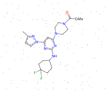 COC(=O)N1CCN(c2cc(-n3ccc(C)n3)nc(NC3CCC(F)(F)CC3)n2)CC1